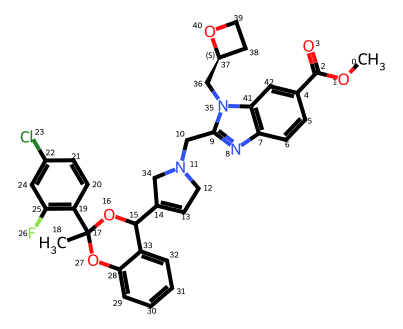 COC(=O)c1ccc2nc(CN3CC=C(C4OC(C)(c5ccc(Cl)cc5F)Oc5ccccc54)C3)n(C[C@@H]3CCO3)c2c1